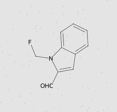 O=Cc1cc2ccccc2n1CF